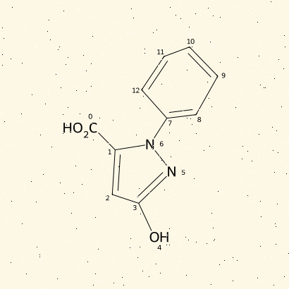 O=C(O)c1cc(O)nn1-c1ccccc1